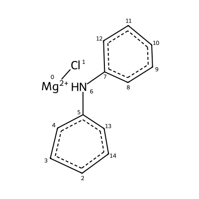 [Mg+2][Cl].c1ccc(Nc2ccccc2)cc1